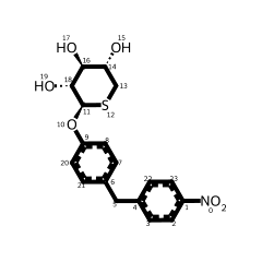 O=[N+]([O-])c1ccc(Cc2ccc(O[C@@H]3SC[C@@H](O)[C@H](O)[C@H]3O)cc2)cc1